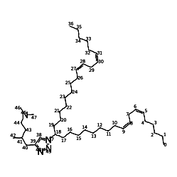 CCCCC/C=C\C/C=C\CCCCCCCCC(CCCCCCCC/C=C\C/C=C\CCCCC)n1cc(CC(C)CCN(C)C)nn1